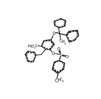 Cc1ccc(S(=O)(=O)Oc2cc(OC(C)(c3ccccc3)c3ccccc3)cc(C(=O)O)c2Cc2ccccc2)cc1